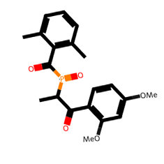 COc1ccc(C(=O)C(C)[P](=O)C(=O)c2c(C)cccc2C)c(OC)c1